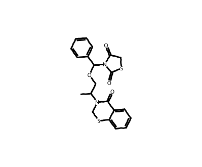 CC(COC(c1ccccc1)N1C(=O)CSC1=O)N1CSc2ccccc2C1=O